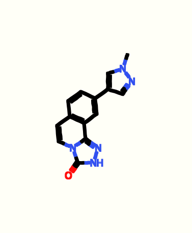 Cn1cc(-c2ccc3ccn4c(=O)[nH]nc4c3c2)cn1